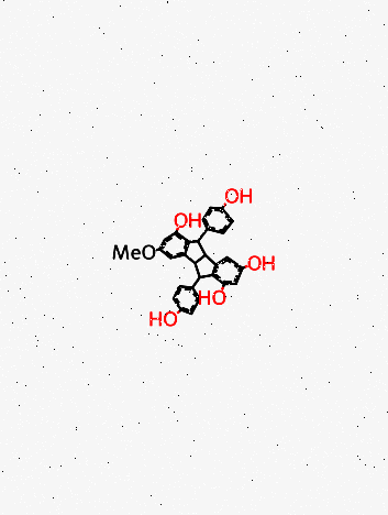 COc1cc(O)c2c(c1)C1C(c3ccc(O)cc3)c3c(O)cc(O)cc3C1C2c1ccc(O)cc1